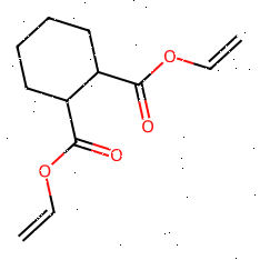 C=COC(=O)C1CCCCC1C(=O)OC=C